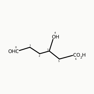 O=CCCC(O)CC(=O)O